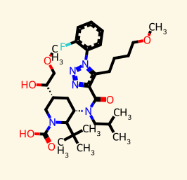 COCCCCc1c(C(=O)N(CC(C)C)[C@H]2C[C@@H](C(O)COC)CN(C(=O)O)C2C(C)(C)C)nnn1-c1ccccc1F